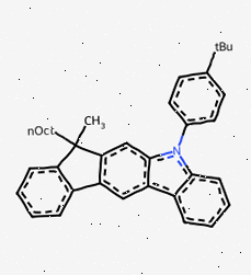 CCCCCCCCC1(C)c2ccccc2-c2cc3c4ccccc4n(-c4ccc(C(C)(C)C)cc4)c3cc21